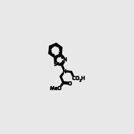 COC(=O)CN(CC(=O)O)c1nc2ccccc2s1